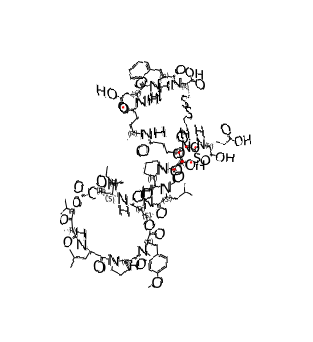 CC[C@@H](C)[C@@H]1NC(=O)[C@H](NC(=O)[C@H](CC(C)C)N(C)C(=O)[C@H]2CCCN2C(=O)[C@@H](C)OC(=O)OCCSSC[C@H](NC(=O)[C@H](Cc2ccccc2)NC(=O)[C@H](CC(=O)O)NC(=O)CC[C@@H](C)NC(=O)CC[C@@H](NC(=S)N[C@H](CCC(=O)O)C(=O)O)C(=O)O)C(=O)O)[C@H](C)OC(=O)[C@@H](Cc2ccc(OC)cc2)N(C)C(=O)[C@H]2CCCN2C(=O)C(CC(C)C)NC(=O)[C@H](C)C(=O)[C@@H](C(C)C)OC(=O)C[C@H]1O